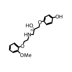 COc1ccccc1OCCNC[C@H](O)COc1ccc(O)cc1